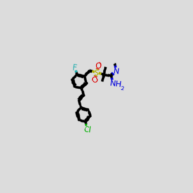 C/N=C(/N)C(C)(C)S(=O)(=O)Cc1cc(/C=C/c2ccc(Cl)cc2)ccc1F